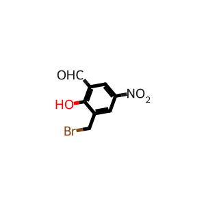 O=Cc1cc([N+](=O)[O-])cc(CBr)c1O